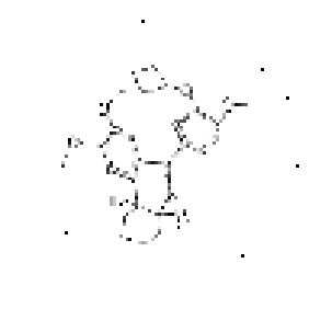 COc1cc2c(cc1OC)[C@H]1CCCC[C@H]1N=C2c1ccc(OC)c(OC2CCC2)c1